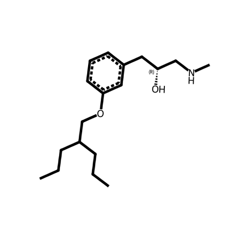 CCCC(CCC)COc1cccc(C[C@@H](O)CNC)c1